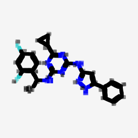 CC(Nc1nc(Nc2cc(-c3ccccc3)[nH]n2)nc(C2CC2)n1)c1ccc(F)cc1F